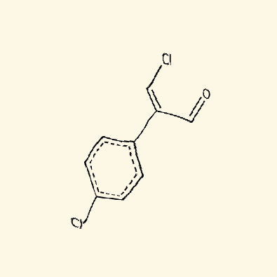 O=CC(=CCl)c1ccc(Cl)cc1